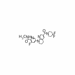 CNC(=O)c1ncc(N2CCCc3cc(C(=O)N4CCC(F)(F)CC4)cnc32)cc1F